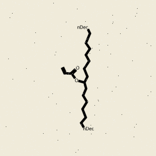 C=CC(=O)OC(CCCCCCCCCCCCCCCC)CCCCCCCCCCCCCCCCC